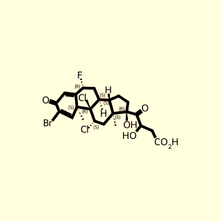 C[C@]12C=C(Br)C(=O)C=C1[C@H](F)C[C@H]1[C@@H]3CC[C@](O)(C(=O)C(O)CC(=O)O)[C@@]3(C)C[C@H](Cl)[C@@]12Cl